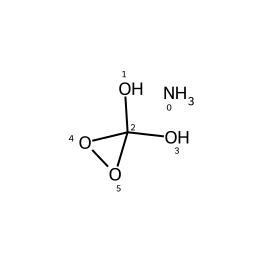 N.OC1(O)OO1